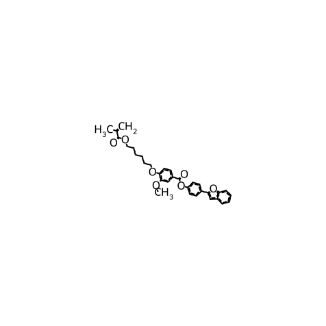 C=C(C)C(=O)OCCCCCCOc1ccc(C(=O)Oc2ccc(-c3cc4ccccc4o3)cc2)cc1OC